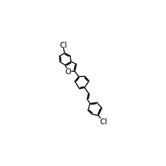 Clc1ccc(C=Cc2ccc(-c3cc4cc(Cl)ccc4o3)cc2)cc1